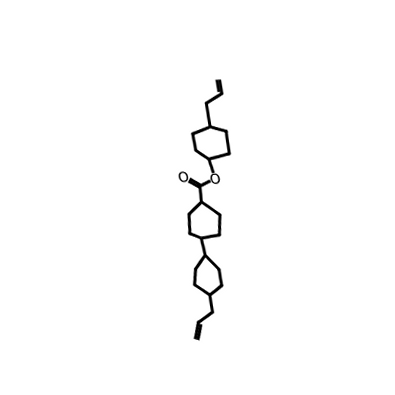 C=CCC1CCC(OC(=O)C2CCC(C3CCC(CC=C)CC3)CC2)CC1